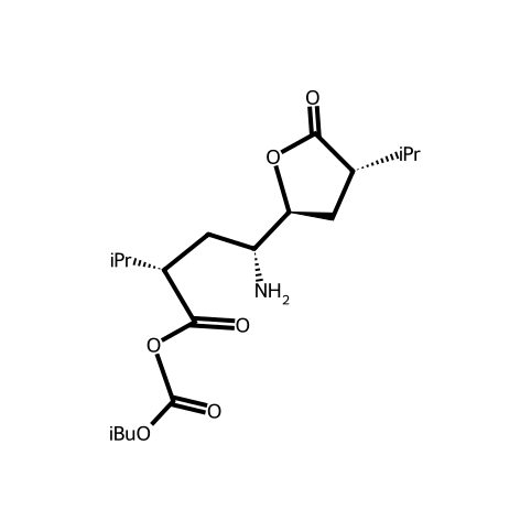 CC(C)COC(=O)OC(=O)[C@@H](C[C@@H](N)[C@@H]1C[C@@H](C(C)C)C(=O)O1)C(C)C